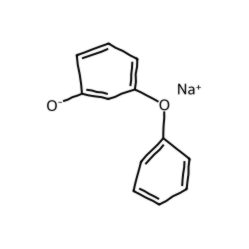 [Na+].[O-]c1cccc(Oc2ccccc2)c1